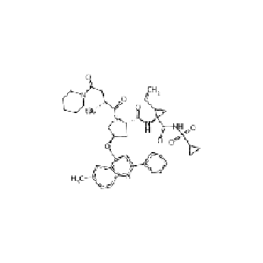 C=CC1C[C@]1(NC(=O)[C@@H]1C[C@@H](Oc2cc(-c3ccccc3)nc3ccc(C)cc23)CN1C(=O)[C@@H](CC(=O)N1CCCCC1)C(C)(C)C)C(=O)NS(=O)(=O)C1CC1